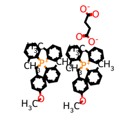 COc1ccc(C[P+](c2ccccc2C)(c2ccccc2C)c2ccccc2C)cc1.COc1ccc(C[P+](c2ccccc2C)(c2ccccc2C)c2ccccc2C)cc1.O=C([O-])CCC(=O)[O-]